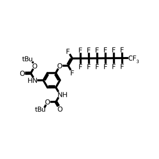 CC(C)(C)OC(=O)Nc1cc(NC(=O)OC(C)(C)C)cc(OC(F)=C(F)C(F)(F)C(F)(F)C(F)(F)C(F)(F)C(F)(F)C(F)(F)C(F)(F)F)c1